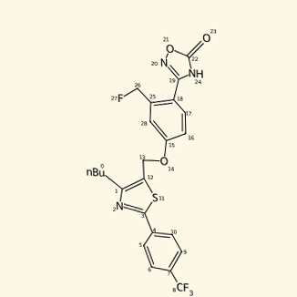 CCCCc1nc(-c2ccc(C(F)(F)F)cc2)sc1COc1ccc(-c2noc(=O)[nH]2)c(CF)c1